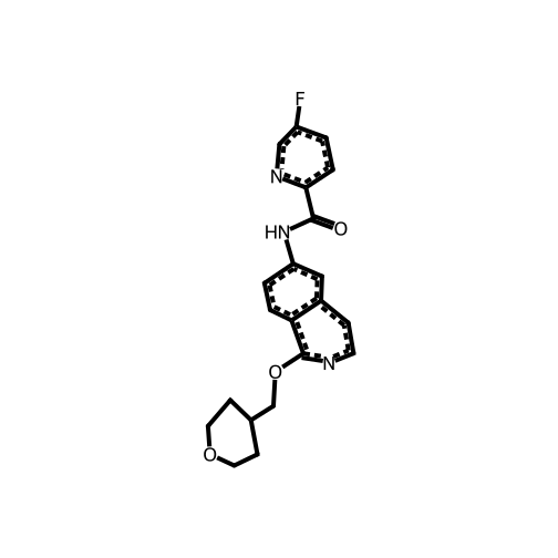 O=C(Nc1ccc2c(OCC3CCOCC3)nccc2c1)c1ccc(F)cn1